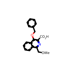 COCc1nc(C(=O)O)c(OCc2ccccc2)c2ccccc12